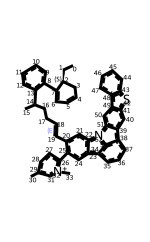 CC[C@H]1CC=CC=C1c1ccccc1C(C)CC/C=C/c1cc2c(cc1-c1ccc(C)c[n+]1C)c1cccc3c4cc5sc6ccccc6c5cc4n2c13